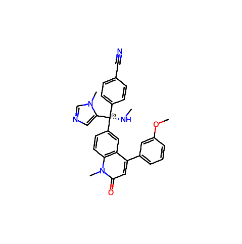 CN[C@](c1ccc(C#N)cc1)(c1ccc2c(c1)c(-c1cccc(OC)c1)cc(=O)n2C)c1cncn1C